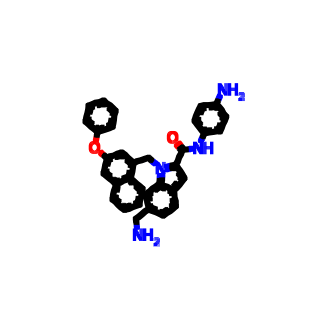 NCc1ccc2cc(C(=O)Nc3ccc(N)cc3)n(Cc3cc(Oc4ccccc4)cc4ccccc34)c2c1